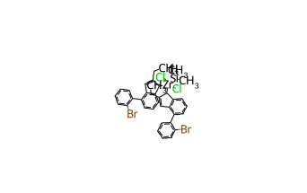 CCC1=Cc2c(-c3ccccc3Br)cccc2[CH]1[Zr]([Cl])([Cl])([CH]1C(CC)=Cc2c(-c3ccccc3Br)cccc21)[SiH](C)C